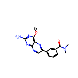 CCOc1nc(N)nc2ncc(-c3cccc(C(=O)N(C)C)c3)nc12